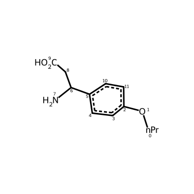 CCCOc1ccc(C(N)CC(=O)O)cc1